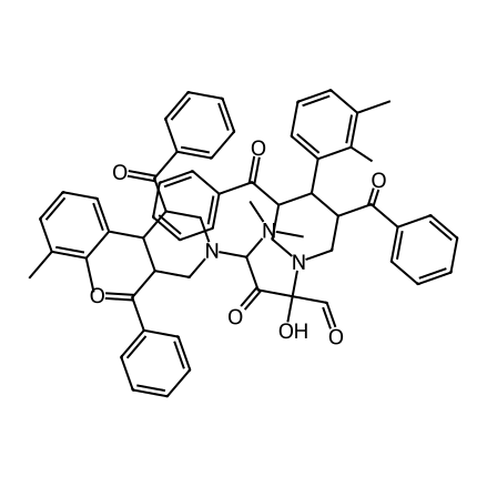 Cc1cccc(C2C(C(=O)c3ccccc3)CN(C(C(=O)C(O)(C=O)N3CC(C(=O)c4ccccc4)C(c4cccc(C)c4C)C(C(=O)c4ccccc4)C3)N(C)C)CC2C(=O)c2ccccc2)c1C